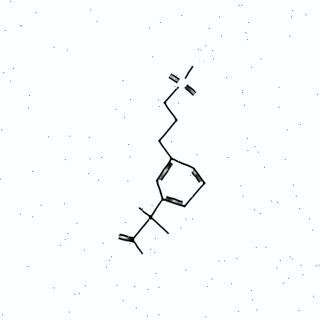 CS(=O)(=O)CCCc1cccc(C(F)(F)C(=O)O)c1